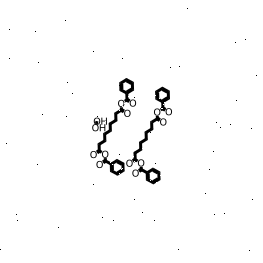 O=C(CCCCCCCC(=O)OC(=O)c1ccccc1)OC(=O)c1ccccc1.O=C(CCCCCCCC(=O)OC(=O)c1ccccc1)OC(=O)c1ccccc1.OO